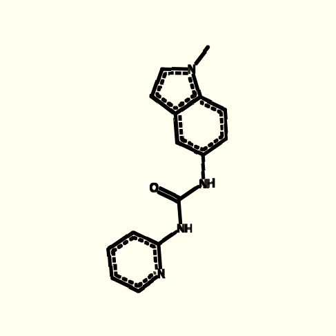 Cn1ccc2cc(NC(=O)Nc3ccccn3)ccc21